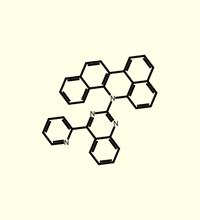 c1ccc(-c2nc(N3c4c(ccc5ccccc45)-c4cccc5cccc3c45)nc3ccccc23)nc1